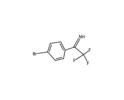 N=C(c1ccc(Br)cc1)C(F)(F)F